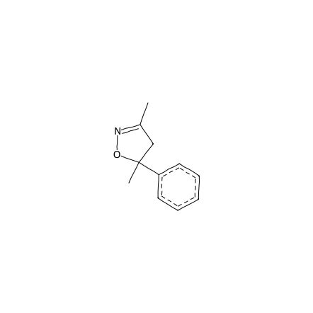 CC1=NOC(C)(c2ccccc2)C1